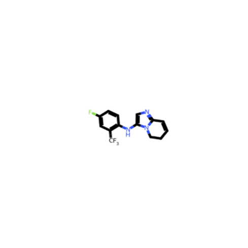 Fc1ccc(Nc2cnc3n2CCC=C3)c(C(F)(F)F)c1